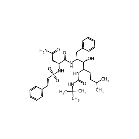 CC(C)CCC(NC(=O)NC(C)(C)C)[C@H](O)[C@H](Cc1ccccc1)NC(=O)[C@H](CC(N)=O)NS(=O)(=O)C=Cc1ccccc1